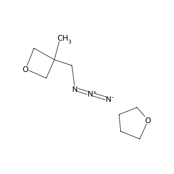 C1CCOC1.CC1(CN=[N+]=[N-])COC1